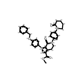 COC(=O)c1nn(-c2ccc(OCc3ccccc3)cc2)c2c1CCN(c1ccc(N3CCCCC3=O)cc1)C2=O